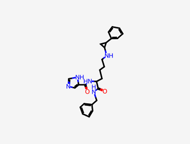 O=C(NC(CCCCNC1CC1c1ccccc1)C(=O)NCc1ccccc1)c1cnc[nH]1